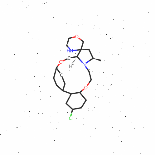 C[C@@H]1C[C@@]2(COCCN2)[C@@H]2COC3CCC(CC3)C3CC(Cl)CCC3OCCN12